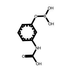 O=C(O)Nc1cccc(OB(O)O)c1